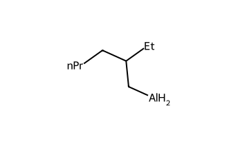 CCCCC(CC)[CH2][AlH2]